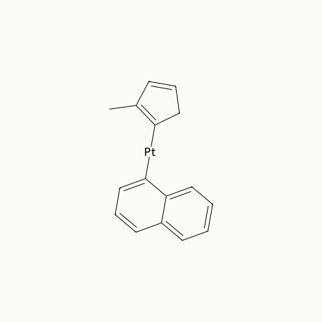 CC1=[C]([Pt][c]2cccc3ccccc23)CC=C1